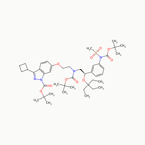 CC[Si](CC)(CC)O[C@@H](CN(CCOc1ccc2c(C3CCC3)nn(C(=O)OC(C)(C)C)c2c1)C(=O)OC(C)(C)C)c1cccc(N(C(=O)OC(C)(C)C)S(C)(=O)=O)c1